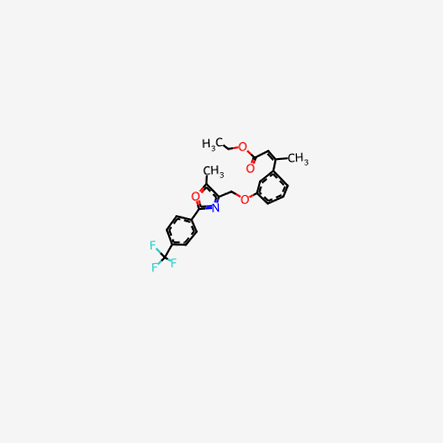 CCOC(=O)/C=C(/C)c1cccc(OCc2nc(-c3ccc(C(F)(F)F)cc3)oc2C)c1